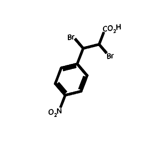 O=C(O)C(Br)C(Br)c1ccc([N+](=O)[O-])cc1